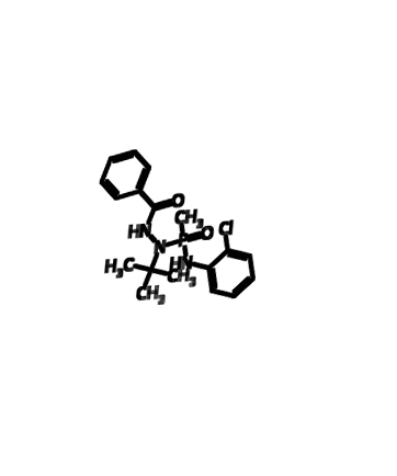 CC(C)(C)N(NC(=O)c1ccccc1)P(C)(=O)Nc1ccccc1Cl